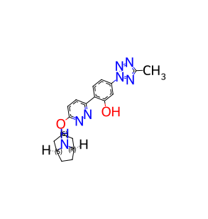 Cc1nnn(-c2ccc(-c3ccc(O[C@@H]4C[C@H]5CC[C@@H](C4)N5)nn3)c(O)c2)n1